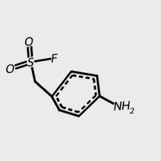 Nc1ccc(CS(=O)(=O)F)cc1